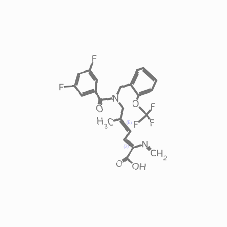 C=N/C(=C\C=C(/C)CN(Cc1ccccc1OC(F)(F)F)C(=O)c1cc(F)cc(F)c1)C(=O)O